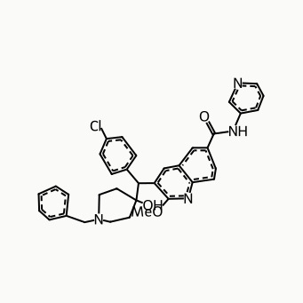 COc1nc2ccc(C(=O)Nc3cccnc3)cc2cc1C(c1ccc(Cl)cc1)C1(O)CCN(Cc2ccccc2)CC1